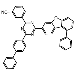 N#Cc1cccc(-c2nc(-c3ccc(-c4ccccc4)cc3)nc(-c3ccc4c(c3)oc3cccc(-c5ccccc5)c34)n2)c1